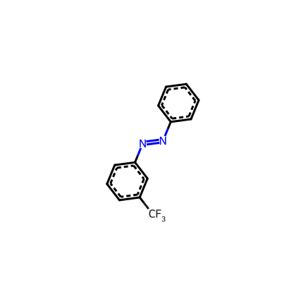 FC(F)(F)c1cccc(N=Nc2ccccc2)c1